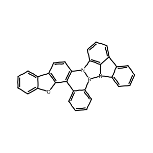 c1ccc2c(c1)B1N(c3ccc4c(oc5ccccc54)c3-2)c2cccc3c4ccccc4n1c23